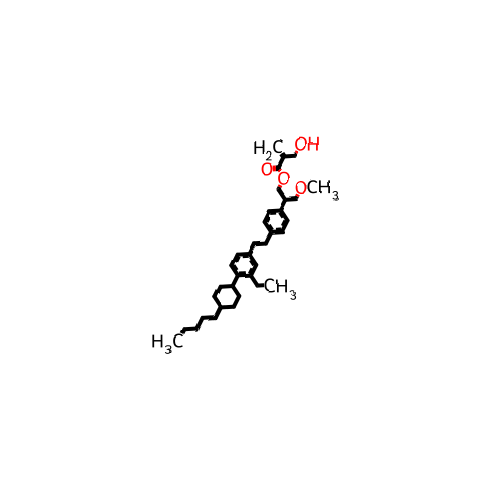 C=C(CO)C(=O)OCC(COC)c1ccc(CCc2ccc(C3CCC(CCCCC)CC3)c(CC)c2)cc1